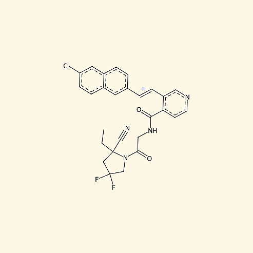 CCC1(C#N)CC(F)(F)CN1C(=O)CNC(=O)c1ccncc1/C=C/c1ccc2cc(Cl)ccc2c1